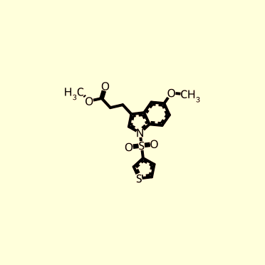 COC(=O)CCc1cn(S(=O)(=O)c2ccsc2)c2ccc(OC)cc12